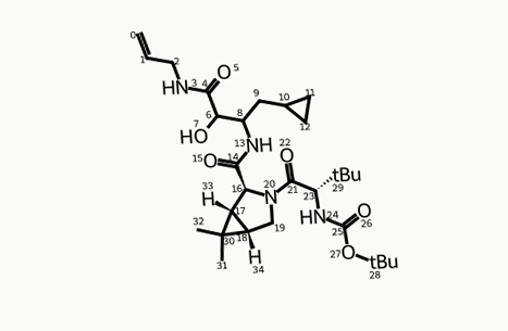 C=CCNC(=O)C(O)C(CC1CC1)NC(=O)[C@@H]1[C@@H]2[C@H](CN1C(=O)[C@@H](NC(=O)OC(C)(C)C)C(C)(C)C)C2(C)C